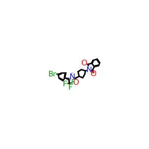 CN(C(=O)C1CCC(N2C(=O)c3ccccc3C2=O)CC1)[C@@H](c1ccc(Br)cc1)C(F)(F)F